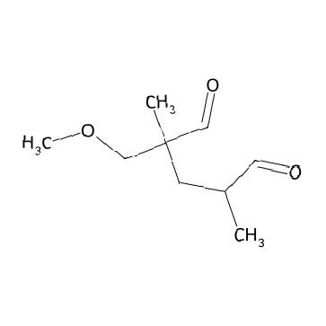 COCC(C)(C=O)CC(C)C=O